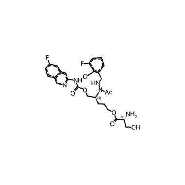 CC(=O)N(NCc1cccc(F)c1Cl)[C@@H](CCCOC(=O)[C@H](N)CO)COC(=O)Nc1cc2cc(F)ccc2cn1